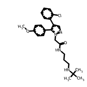 COc1ccc(-c2c(-c3ccccc3Cl)cnn2CC(=O)NCCCNC(C)(C)C)cc1